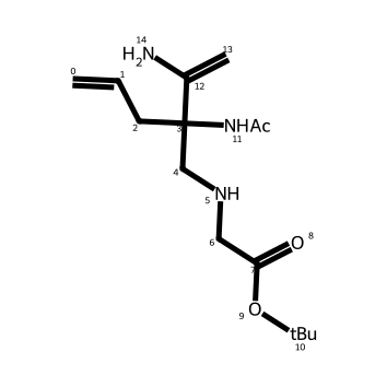 C=CCC(CNCC(=O)OC(C)(C)C)(NC(C)=O)C(=C)N